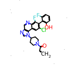 C=CC(=O)N1CCC(n2cnc3cnc4c(F)c(-c5c(O)cccc5F)c(Cl)cc4c32)CC1